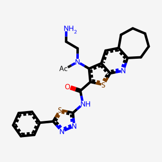 CC(=O)N(CCN)c1c(C(=O)Nc2nnc(-c3ccccc3)s2)sc2nc3c(cc12)CCCCC3